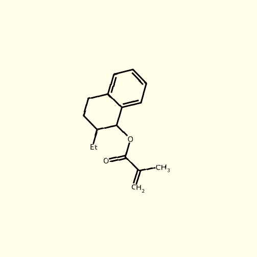 C=C(C)C(=O)OC1c2ccccc2CCC1CC